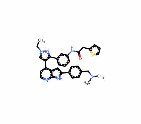 CCn1cc(-c2ccnc3[nH]c(-c4ccc(CN(C)C)cc4)cc23)c(-c2cccc(NC(=O)Cc3cccs3)c2)n1